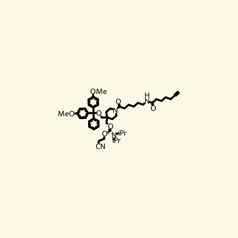 C#CCCCCC(=O)NCCCCCC(=O)N1CCC(COP(OCCC#N)N(C(C)C)C(C)C)(COC(c2ccccc2)(c2ccc(OC)cc2)c2ccc(OC)cc2)CC1